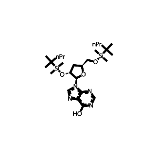 CCCC(C)(C)[Si](C)(C)OC[C@@H]1C[C@@H](O[Si](C)(C)C(C)(C)CCC)[C@H](n2cnc3c(O)ncnc32)O1